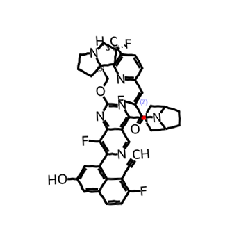 C#Cc1c(F)ccc2cc(O)cc(-c3ncc4c(N5CC6CCC(C5)N6C(=O)/C(F)=C/c5ccc(C)cn5)nc(OC[C@@]56CCCN5C[C@H](F)C6)nc4c3F)c12